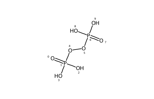 O=P(O)(O)OOP(=O)(O)O